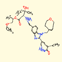 COCC(C)OC(=O)[C@@H](NCc1ccc2c(c1)nc(-c1c[nH]c(=O)c(C)c1)n2CC1CCOCC1)C(C)(C)O